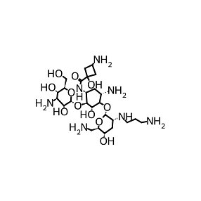 NCCCN[C@@H]1C[C@H](O)[C@@H](CN)O[C@@H]1OC1[C@@H](N)C[C@@H](NC(=O)C2(O)CC(N)C2)[C@H](O[C@H]2O[C@H](CO)[C@@H](O)[C@H](N)[C@H]2O)[C@H]1O